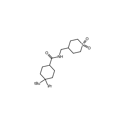 CC(C)C1(C(C)(C)C)CCC(C(=O)NCC2CCS(=O)(=O)CC2)CC1